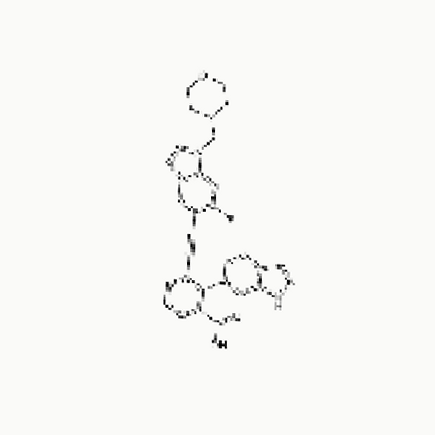 O=C(O)c1cccc(C#Cc2cc3ccn(CC4CCOCC4)c3cc2F)c1-c1ccc2cc[nH]c2c1